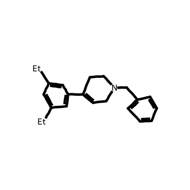 CCc1cc(CC)cc(C2=CCN(Cc3ccccc3)CC2)c1